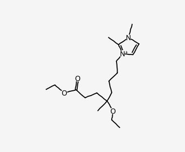 CCOC(=O)CCC(C)(CCCC[n+]1ccn(C)c1C)OCC